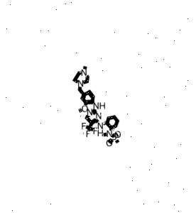 COc1cc(CN2CCN(C)CC2)ccc1Nc1ncc(C(F)(F)F)c(N[C@@H]2CCCC[C@H]2N(C)S(C)(=O)=O)n1